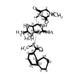 CN1CC(=O)N(C[C@@H]2NC(=N)N3C[C@H](N(C)C(=O)c4cccc5c4CCCC5)[C@@H](O)[C@@]34NC(N)NC24)C1=O